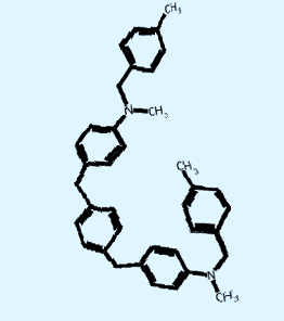 Cc1ccc(CN(C)c2ccc(Cc3ccc(Cc4ccc(N(C)Cc5ccc(C)cc5)cc4)cc3)cc2)cc1